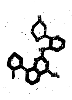 Nc1nc(Nc2cccnc2C2CNCCO2)nc2c(-c3ccccc3F)cccc12